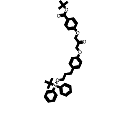 CC(C)(C)OC(=O)c1ccc(OCC(=O)COc2ccc(CCCO[Si](c3ccccc3)(c3ccccc3)C(C)(C)C)cc2)cc1